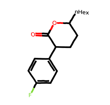 CCCCCCC1CCC(c2ccc(F)cc2)C(=O)O1